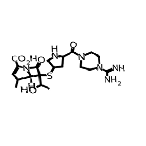 CC1C=C(C(=O)O)N2C(=O)C(SC3CNC(C(=O)N4CCN(C(=N)N)CC4)C3)(C(C)O)[C@H]12